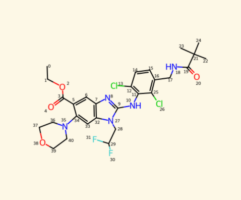 CCOC(=O)c1cc2nc(Nc3c(Cl)ccc(CNC(=O)C(C)(C)C)c3Cl)n(CC(F)F)c2cc1N1CCOCC1